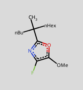 CCCCCCC(C)(CCCC)c1nc(F)c(OC)o1